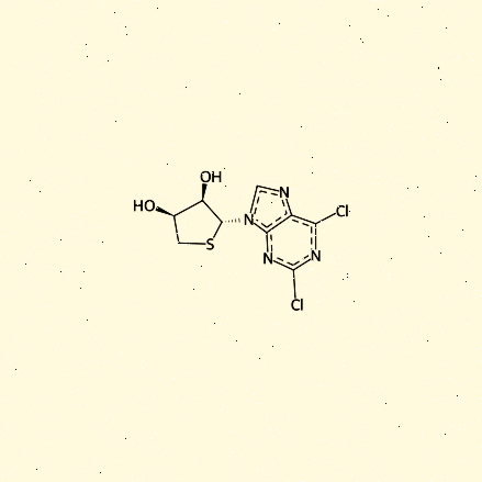 O[C@@H]1[C@H](O)CS[C@H]1n1cnc2c(Cl)nc(Cl)nc21